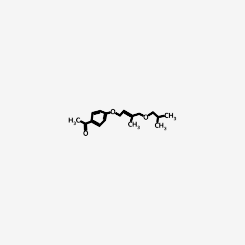 CC(=O)c1ccc(OC/C=C(\C)COCC(C)C)cc1